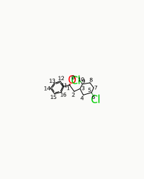 O=C(CC1CC(Cl)CCC1Cl)c1ccccc1